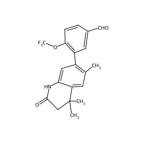 Cc1cc2c(cc1-c1cc(C=O)ccc1OC(F)(F)F)NC(=O)CC2(C)C